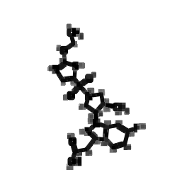 CCOc1ncc(S(=O)(=O)N2C[C@@H](C)[C@@H](n3nc(CC(=O)O)c4ccc(F)cc43)C2)s1